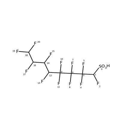 O=S(=O)(O)C(F)C(F)(F)C(F)(F)C(F)(F)C(F)C(F)C(F)C(F)F